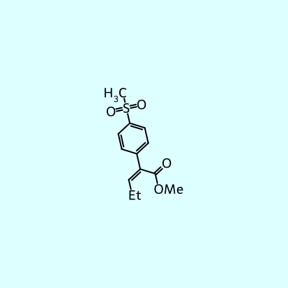 CCC=C(C(=O)OC)c1ccc(S(C)(=O)=O)cc1